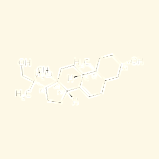 CC(C)(CO)[C@H]1CC[C@H]2C3=CCC4C[C@@H](O)CC[C@]4(C)[C@H]3CC[C@]12C